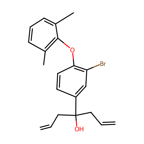 C=CCC(O)(CC=C)c1ccc(Oc2c(C)cccc2C)c(Br)c1